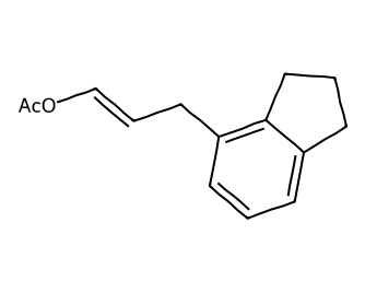 CC(=O)O/C=C/Cc1cccc2c1CCC2